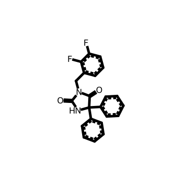 O=C1NC(c2ccccc2)(c2ccccc2)C(=O)N1Cc1cccc(F)c1F